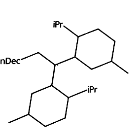 CCCCCCCCCCC[C](C1CC(C)CCC1C(C)C)C1CC(C)CCC1C(C)C